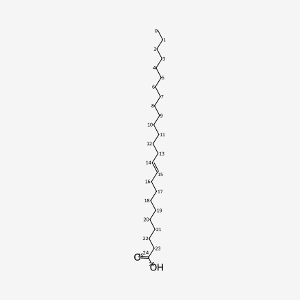 CCCCCCCCCCCCCCC=CCCCCCCCCC(=O)O